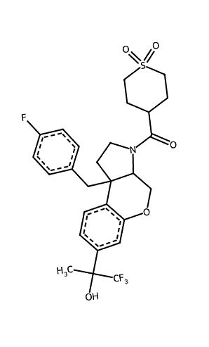 CC(O)(c1ccc2c(c1)OCC1N(C(=O)C3CCS(=O)(=O)CC3)CCC21Cc1ccc(F)cc1)C(F)(F)F